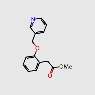 COC(=O)Cc1ccccc1OCc1cccnc1